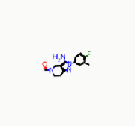 Cc1cc(-n2nc3c(c2N)CN(C=O)CC3)ccc1F